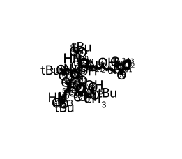 CN(C(=O)OC(C)(C)C)[C@@H]1[C@@H](O)[C@@H](O[C@@H]2[C@@H](O)[C@H](O[C@H]3OC(CNCC(O)CCCN4C(=O)c5ccccc5C4=O)=CC[C@H]3NC(=O)OC(C)(C)C)[C@@H](NC(=O)OC(C)(C)C)C[C@H]2NC(=O)[C@@H](O)CCNC(=O)OC(C)(C)C)OC[C@]1(C)O